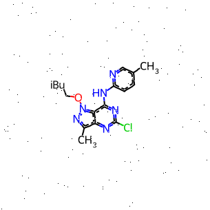 CCC(C)COn1nc(C)c2nc(Cl)nc(Nc3ccc(C)cn3)c21